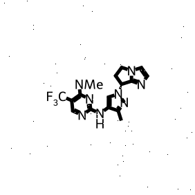 CNc1nc(Nc2cn([C@H]3CCn4ccnc43)nc2C)ncc1C(F)(F)F